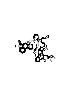 CC(C)C[C@H]1C(=O)N2CCC[C@H]2[C@]2(O)O[C@](NC(=O)[C@@H]3C=C4c5cccc6[nH]c(Br)c(c56)C[C@H]4N(C)C3)(C(C)C)C(=O)N12.O=P1(N(CCCl)CCCl)NCCCO1